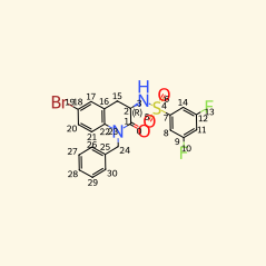 O=C1[C@H](NS(=O)(=O)c2cc(F)cc(F)c2)Cc2cc(Br)ccc2N1Cc1ccccc1